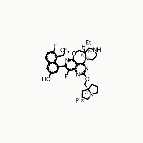 CC[C@@H]1NCCN2c3nc(OC[C@@]45CCCN4C[C@H](F)C5)nc4c(F)c(-c5cc(O)cc6ccc(F)c(CC(F)(F)F)c56)nc(c34)OC[C@H]12